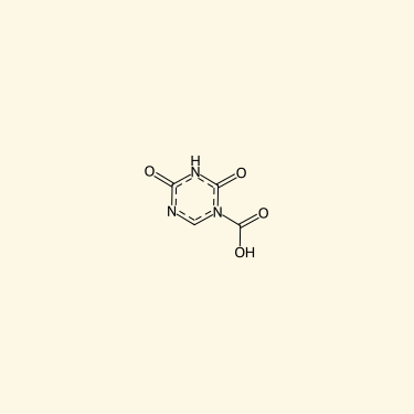 O=C(O)n1cnc(=O)[nH]c1=O